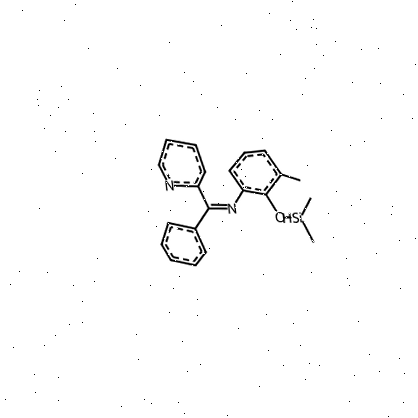 Cc1cccc(N=C(c2ccccc2)c2ccccn2)c1O[SiH](C)C